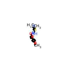 CCOc1ccc(-c2ccc(C(=O)NN=Cc3cc(CN(C)C)cs3)o2)cc1